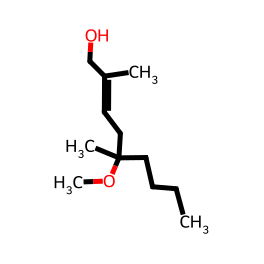 CCCCC(C)(C/C=C(\C)CO)OC